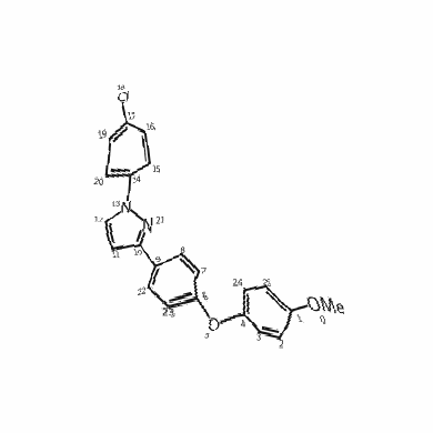 COc1ccc(Oc2ccc(-c3ccn(-c4ccc(Cl)cc4)n3)cc2)cc1